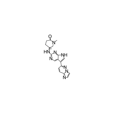 CN1C[C@@H](Nc2ncc3c(-c4ccc5nccn5n4)c[nH]c3n2)CCC1=O